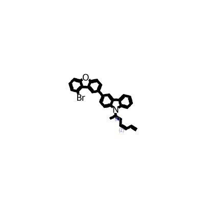 C=C/C=C\C=C(/C)n1c2ccccc2c2cc(-c3ccc4oc5cccc(Br)c5c4c3)ccc21